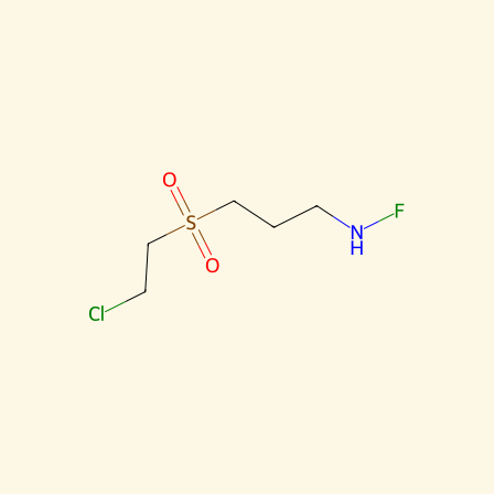 O=S(=O)(CCCl)CCCNF